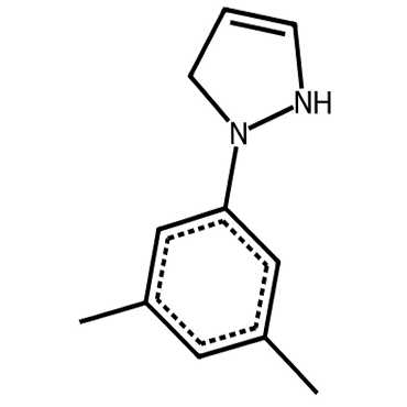 Cc1cc(C)cc(N2CC=CN2)c1